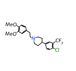 COc1ccc(CCN2CCC(c3ccc(Cl)c(C(F)(F)F)c3)CC2)cc1OC